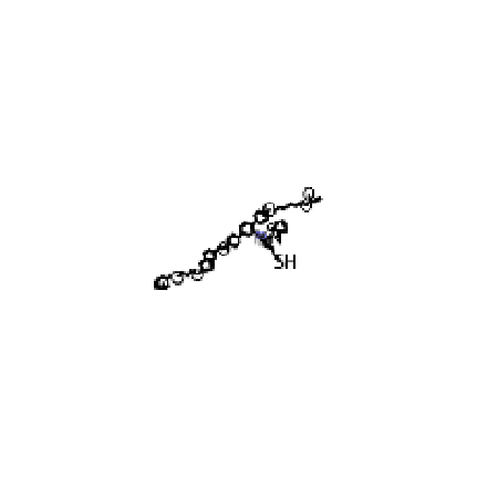 C=CC(=O)OCCCCCCOc1ccc(-c2ccc(C3CCC(OCc4ccc5cc(OCCCOCC6CC7CC(C6)O7)ccc5c4)CC3)cc2/C=N/N(CCCCS)c2nc3ccccc3s2)cc1